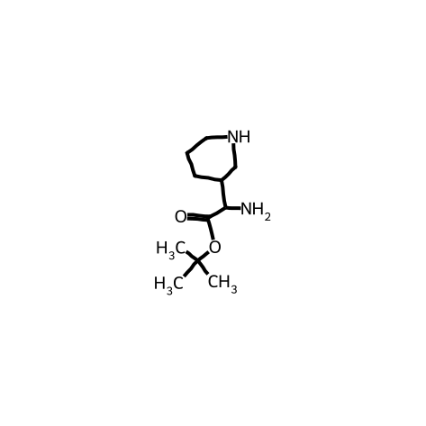 CC(C)(C)OC(=O)C(N)C1CCCNC1